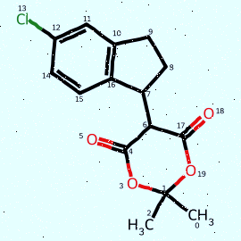 CC1(C)OC(=O)C(C2CCc3cc(Cl)ccc32)C(=O)O1